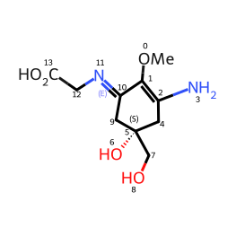 COC1=C(N)C[C@@](O)(CO)C/C1=N\CC(=O)O